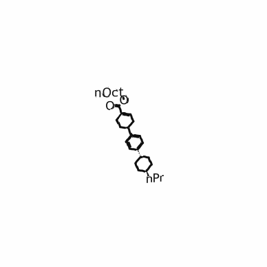 CCCCCCCCOC(=O)C1=CCC(c2ccc([C@H]3CC[C@H](CCC)CC3)cc2)CC1